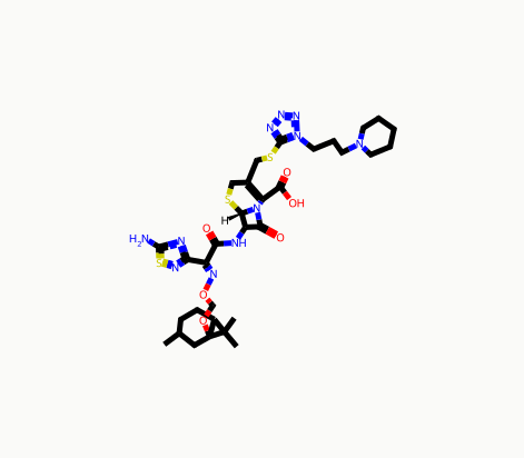 CC1CCC2C(C)(C)C2(OCON=C(C(=O)NC2C(=O)N3C(C(=O)O)=C(CSc4nnnn4CCCN4CCCCC4)CS[C@@H]23)c2nsc(N)n2)C1